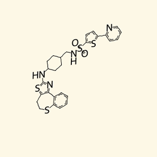 O=S(=O)(NCC1CCC(Nc2nc3c(s2)CCSc2ccccc2-3)CC1)c1ccc(-c2ccccn2)s1